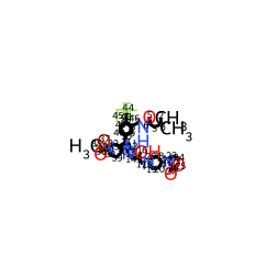 CC(C)CC(=O)NCc1cc(-c2nn(CC(O)CN3CCC(N4CCOC4=O)CC3)c3c2CN(S(C)(=O)=O)CC3)ccc1C(F)(F)F